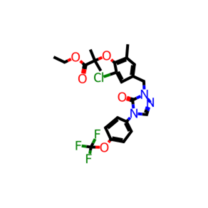 CCOC(=O)C(C)(C)Oc1c(C)cc(Cn2ncn(-c3ccc(OC(F)(F)F)cc3)c2=O)cc1Cl